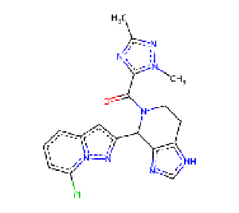 Cc1nc(C(=O)N2CCc3[nH]cnc3C2c2cc3cccc(Cl)n3n2)n(C)n1